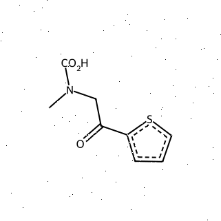 CN(CC(=O)c1cccs1)C(=O)O